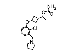 CC(OC(N)=O)C1CC(Oc2cccc(CN3CCCC3)c2Cl)C1